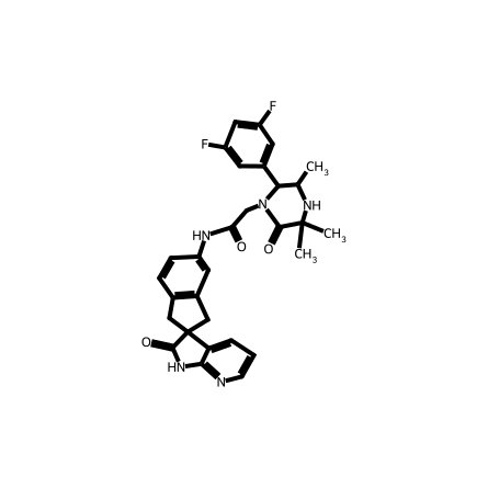 CC1NC(C)(C)C(=O)N(CC(=O)Nc2ccc3c(c2)CC2(C3)C(=O)Nc3ncccc32)C1c1cc(F)cc(F)c1